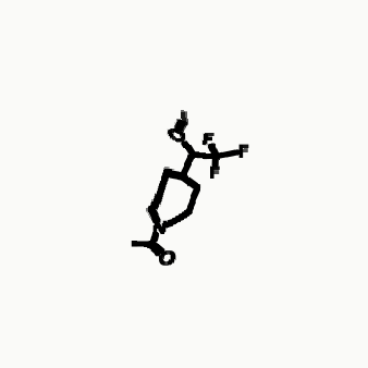 CC(=O)N1CCC(C(OI)C(F)(F)F)CC1